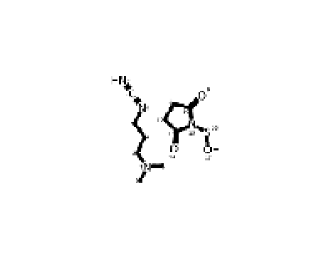 CN(C)CCCN=C=N.O=C1CCC(=O)N1SO